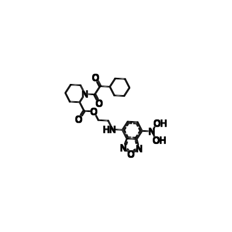 O=C(C(=O)N1CCCCC1C(=O)OCCNc1ccc(N(O)O)c2nonc12)C1CCCCC1